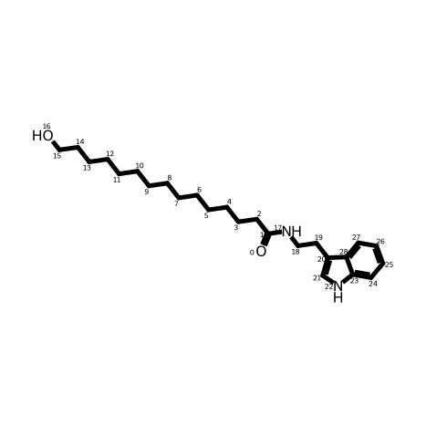 O=C(CCCCCCCCCCCCCCO)NCCc1c[nH]c2ccccc12